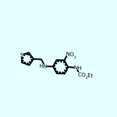 CCOC(=O)Nc1ccc(NCc2ccsc2)cc1[N+](=O)[O-]